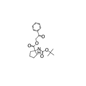 CC(C)(C)OC(=O)NC1(C(=O)OCC(=O)c2ccccc2)CCCC1